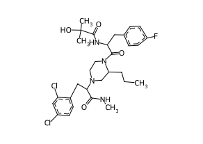 CCCC1CN(C(Cc2ccc(Cl)cc2Cl)C(=O)NC)CCN1C(=O)C(Cc1ccc(F)cc1)NC(=O)C(C)(C)O